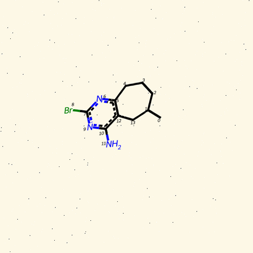 CC1CCCc2nc(Br)nc(N)c2C1